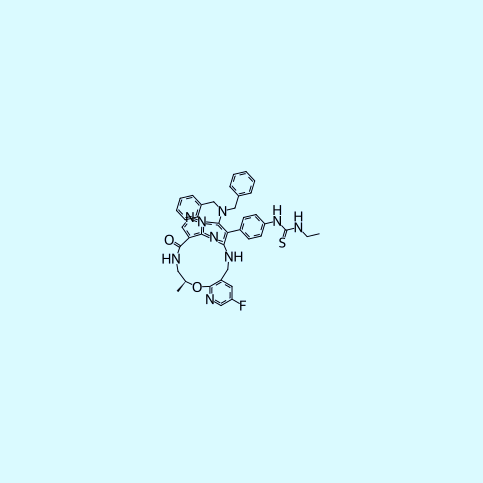 CCNC(=S)Nc1ccc(-c2c3nc4c(cnn4c2N(Cc2ccccc2)Cc2ccccc2)C(=O)NC[C@H](C)Oc2ncc(F)cc2CN3)cc1